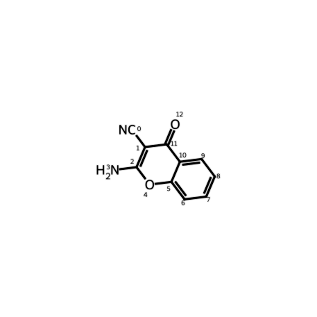 N#Cc1c(N)oc2ccccc2c1=O